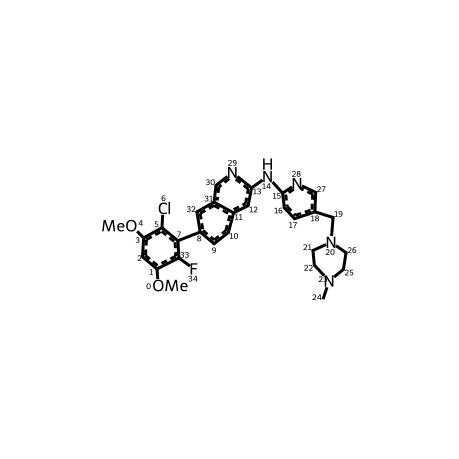 COc1cc(OC)c(Cl)c(-c2ccc3cc(Nc4ccc(CN5CCN(C)CC5)cn4)ncc3c2)c1F